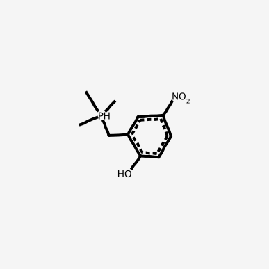 C[PH](C)(C)Cc1cc([N+](=O)[O-])ccc1O